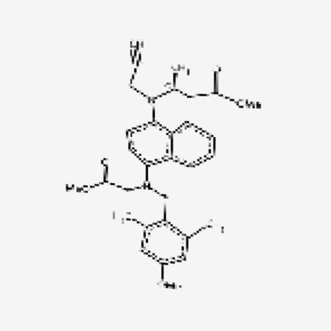 C#CCN(c1ccc(N(CC(=O)OC)Sc2c(C)cc(OC)cc2C)c2ccccc12)[C@@H](C)CC(=O)OC